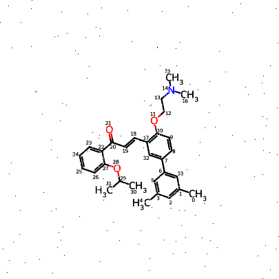 Cc1cc(C)cc(-c2ccc(OCCN(C)C)c(C=CC(=O)c3ccccc3OC(C)C)c2)c1